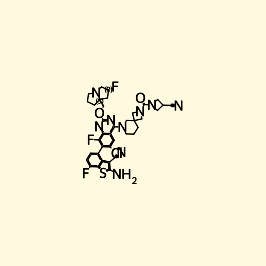 N#Cc1c(N)sc2c(F)ccc(-c3c(Cl)cc4c(N5CCCC6(CN(C(=O)N7CC(C#N)C7)C6)C5)nc(OC[C@@]56CCCN5C[C@H](F)C6)nc4c3F)c12